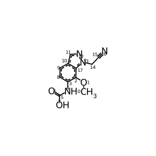 COc1c(NC(=O)O)ccc2cnn(CC#N)c12